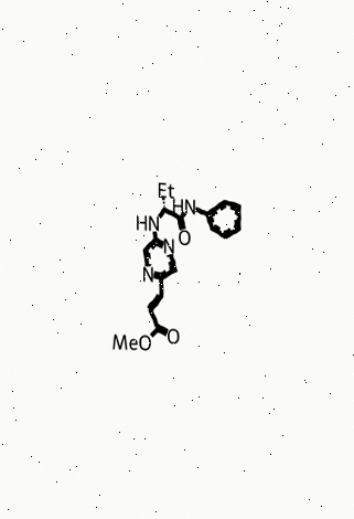 CC[C@@H](Nc1cnc(/C=C/C(=O)OC)cn1)C(=O)Nc1ccccc1